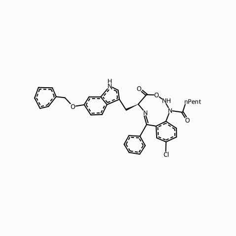 CCCCCC(=O)N1NOC(=O)[C@H](Cc2c[nH]c3cc(OCc4ccccc4)ccc23)/N=C(\c2ccccc2)c2cc(Cl)ccc21